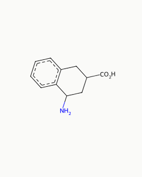 NC1CC(C(=O)O)Cc2ccccc21